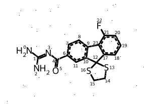 NC(N)=NC(=O)c1ccc2c(c1)C1(SCCS1)c1cccc(F)c1-2